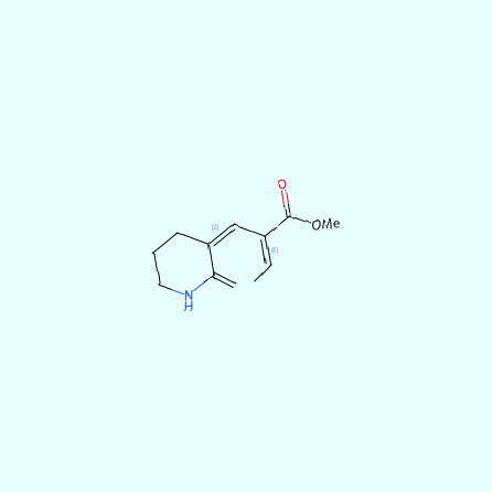 C=C1NCCC/C1=C/C(=C\C)C(=O)OC